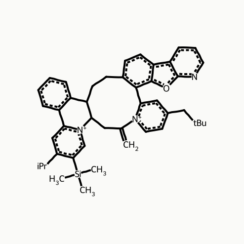 C=C1CC2C(CCc3ccc4c(oc5ncccc54)c3-c3cc(CC(C)(C)C)cc[n+]31)c1ccccc1-c1cc(C(C)C)c([Si](C)(C)C)c[n+]12